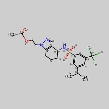 CC(=O)OCCn1ncc2c1CCC[C@H]2NS(=O)(=O)c1cc(C(C)C)cc(C(F)(F)F)c1